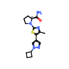 Cc1nc(N2CCC[C@H]2C(N)=O)sc1-c1cnn(C2CCC2)c1